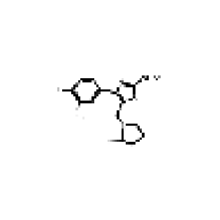 CC(=O)Nc1nc(-c2ccc(F)c(C(F)(F)F)c2)c(CN2CCC[C@H]2C)s1